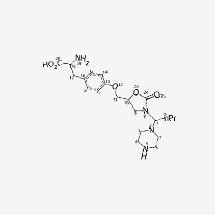 CCCC(N1CCNCC1)N1CC(COc2ccc(CC(N)C(=O)O)cc2)OC1=O